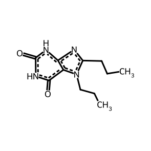 CCCc1nc2[nH]c(=O)[nH]c(=O)c2n1CCC